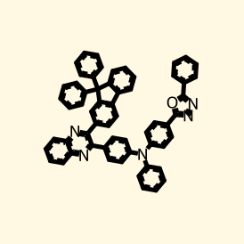 c1ccc(-c2nnc(-c3ccc(N(c4ccccc4)c4ccc(-c5nc6ccccc6nc5-c5ccc6c(c5)C(c5ccccc5)(c5ccccc5)c5ccccc5-6)cc4)cc3)o2)cc1